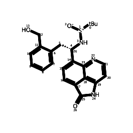 CC(C)(C)[S+]([O-])N[C@@H](Cc1ccccc1CO)c1ccc2c3c(ccnc13)NC2=O